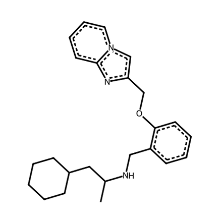 CC(CC1CCCCC1)NCc1ccccc1OCc1cn2ccccc2n1